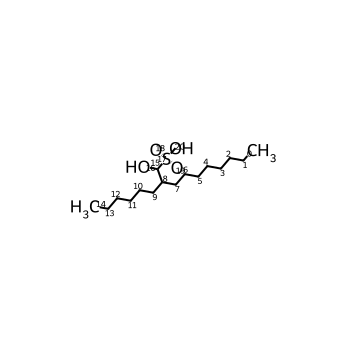 CCCCCCCCC(CCCCCC)C(O)S(=O)(=O)O